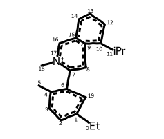 CCc1ccc(C)c(-c2cc3c(C(C)C)cccc3c[n+]2C)c1